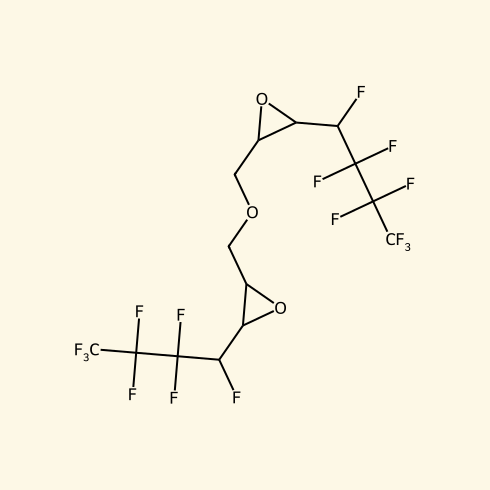 FC(C1OC1COCC1OC1C(F)C(F)(F)C(F)(F)C(F)(F)F)C(F)(F)C(F)(F)C(F)(F)F